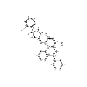 CC1(c2ccccc2F)Oc2cc3cc(Br)c(N=C(c4ccccc4)c4ccccc4)cc3cc2O1